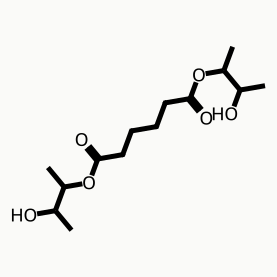 CC(O)C(C)OC(=O)CCCCC(=O)OC(C)C(C)O